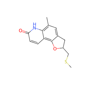 CSCC1Cc2cc(C)c3[nH]c(=O)ccc3c2O1